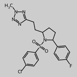 Cn1nnc(CCC2CCC(c3ccc(F)cc3)N2S(=O)(=O)c2ccc(Cl)cc2)n1